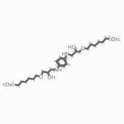 CCCCCCCCCCCCCCCCOCC(O)CNc1ccc(NCC(O)COCCCCCCCCCCCCCCCC)cc1